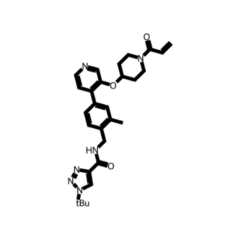 C=CC(=O)N1CCC(Oc2cnccc2-c2ccc(CNC(=O)c3cn(C(C)(C)C)nn3)c(C)c2)CC1